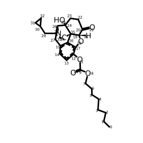 CCCCCCCCOC(=O)Oc1ccc2c3c1O[C@H]1C(=O)CC[C@@]4(O)C(C2)N(CC2CC2)CC[C@]314